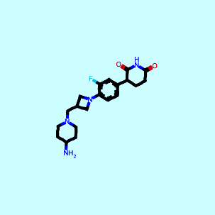 NC1CCN(CC2CN(c3ccc(C4CCC(=O)NC4=O)cc3F)C2)CC1